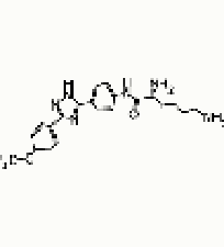 NCCCC[C@H](N)C(=O)Nc1ccc(-c2nc(-c3ccc(OC(F)(F)F)cc3)n[nH]2)cc1